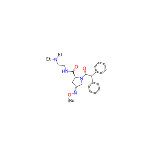 CCN(CC)CCNC(=O)[C@@H]1CC(=NOC(C)(C)C)CN1C(=O)C(c1ccccc1)c1ccccc1